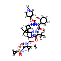 CC[C@@H]1C[C@]1(NC(=O)[C@@H]1C[C@@]2(CN1C(=O)[C@@H](NC(=O)[C@@H](NC(=O)OC1CCN(C)CC1)C1CCCCC1)C(C)(C)C)C(C)(C)C21CCC1)C(=O)NS(=O)(=O)C1CC1